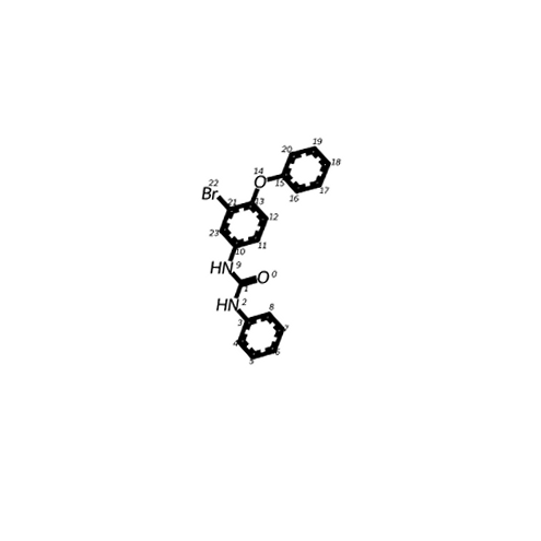 O=C(Nc1ccccc1)Nc1ccc(Oc2ccccc2)c(Br)c1